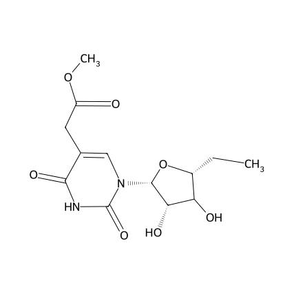 CC[C@H]1O[C@@H](n2cc(CC(=O)OC)c(=O)[nH]c2=O)[C@@H](O)C1O